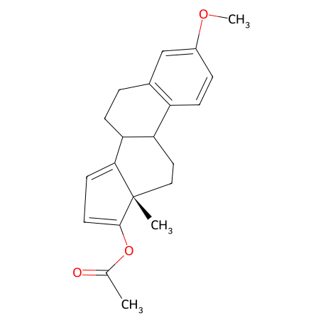 COc1ccc2c(c1)CCC1C3=CC=C(OC(C)=O)[C@@]3(C)CCC21